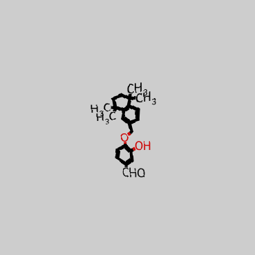 CC1(C)CCC(C)(C)c2cc(COc3ccc(C=O)cc3O)ccc21